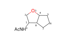 CC(=O)NC1COC2C[CH]CC12